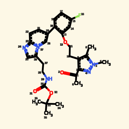 CC(=O)c1nn(C)c(C)c1CCOc1cc(F)ccc1-c1ccc2ncc(CCNC(=O)OC(C)(C)C)n2c1